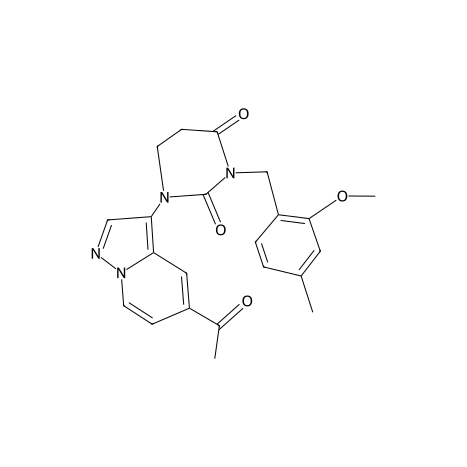 COc1cc(C)ccc1CN1C(=O)CCN(c2cnn3ccc(C(C)=O)cc23)C1=O